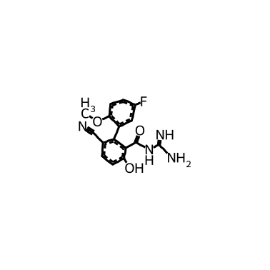 COc1ccc(F)cc1-c1c(C#N)ccc(O)c1C(=O)NC(=N)N